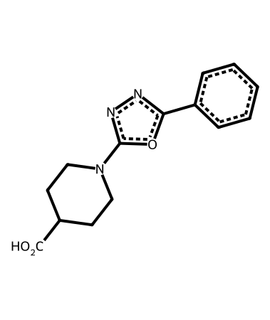 O=C(O)C1CCN(c2nnc(-c3ccccc3)o2)CC1